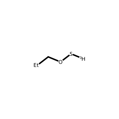 [3H]SOCCC